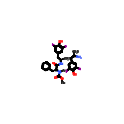 CC(=O)N(C(=O)OC(C)(C)C)[C@@H](Cc1ccccc1)C(=O)N[C@@H](Cc1cc(I)c(O)c(I)c1)C(=O)O.N[C@@H](Cc1cc(I)c(O)c(I)c1)C(=O)O